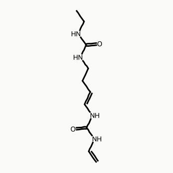 C=CNC(=O)N/C=C/CCNC(=O)NCC